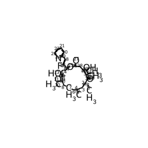 CC[C@@H]1C[C@@H](C)CCC[C@@]2(C)O[C@@]2(O)C[C@@H](C(F)=Cc2ccccn2)OC(=O)C[C@H](O)C(C)(C)C1=O